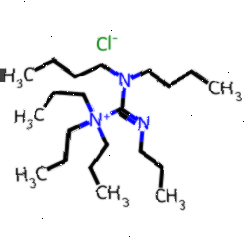 CCCCN(CCCC)C(=NCCC)[N+](CCC)(CCC)CCC.[Cl-]